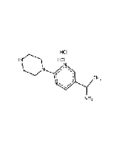 CC(C)c1cnc(N2CCNCC2)nc1.Cl.Cl